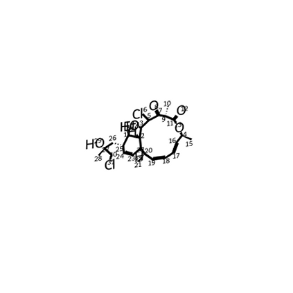 CC[C@H]1[C@@H]2C(O)C(Cl)C(=O)[C@H](C)C(=O)O[C@@H](C)/C=C/C=C\[C@@H](C)[C@@H]2C=C[C@@H]1C[C@@](C)(O)CCl